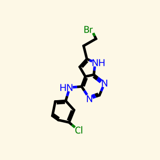 Clc1cccc(Nc2ncnc3[nH]c(CCBr)cc23)c1